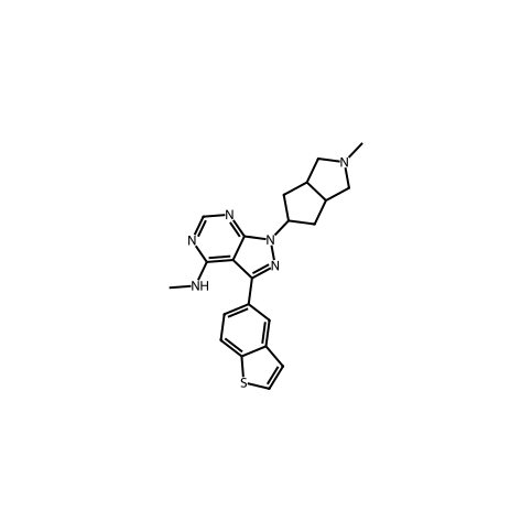 CNc1ncnc2c1c(-c1ccc3sccc3c1)nn2C1CC2CN(C)CC2C1